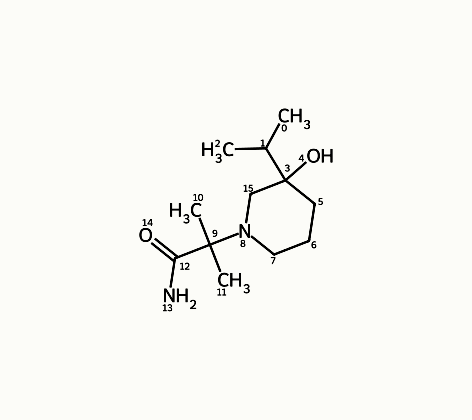 CC(C)C1(O)CCCN(C(C)(C)C(N)=O)C1